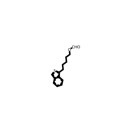 O=COCCCCCc1scc2ccccc12